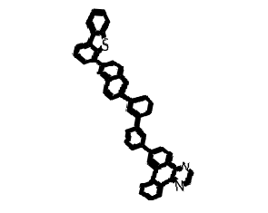 c1cc(-c2cccc(-c3ccc4c(c3)c3ccccc3c3nccnc43)c2)cc(-c2ccc3cc(-c4cccc5c4sc4ccccc45)ccc3c2)c1